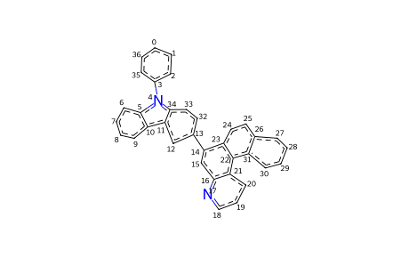 c1ccc(-n2c3ccccc3c3cc(-c4cc5ncccc5c5c4ccc4ccccc45)ccc32)cc1